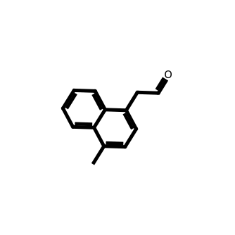 Cc1ccc(CC=O)c2ccccc12